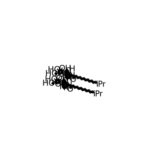 CC(C)CCCCCCCCCCCC(=O)Nc1ncnc2c1ncn2[C@@H]1O[C@H](CO)[C@@H](O)[C@H]1O.CC(C)CCCCCCCCCCCC(=O)Nc1ncnc2c1ncn2[C@@H]1O[C@H](CO)[C@@H](O)[C@H]1O